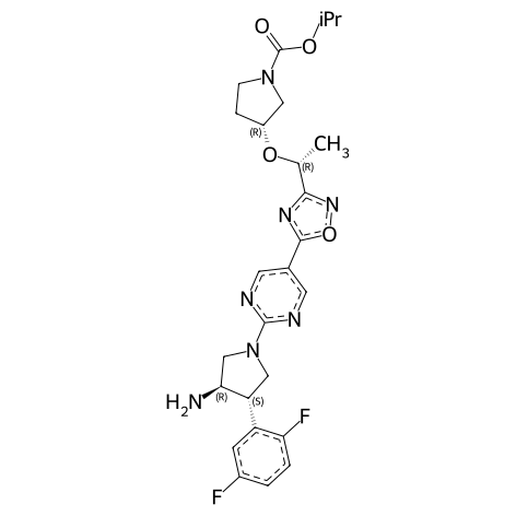 CC(C)OC(=O)N1CC[C@@H](O[C@H](C)c2noc(-c3cnc(N4C[C@H](c5cc(F)ccc5F)[C@@H](N)C4)nc3)n2)C1